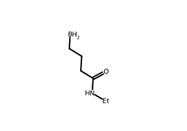 BCCCC(=O)NCC